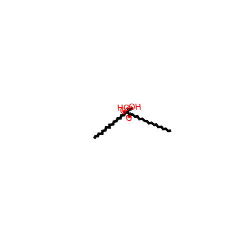 CCCCCCCCCCCCCCCCCC(=O)[C](C(=O)CCCCCCCCCCCCCCCCC)C(O)CO